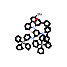 CC(C)(C)c1ccc(-c2cccc3c2N(c2cccc(-c4ccccc4)c2)c2cc(-n4c5ccccc5c5ccccc54)cc4c2B3c2ccc([Si](c3ccccc3)(c3ccccc3)c3ccccc3)cc2N4c2cccc([Si](c3ccccc3)(c3ccccc3)c3ccccc3)c2)cc1